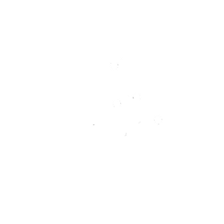 CCOC(C)=O.O=Cc1ccco1